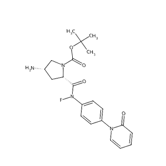 CC(C)(C)OC(=O)N1C[C@@H](N)C[C@H]1C(=O)N(F)c1ccc(-n2ccccc2=O)cc1